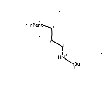 CCCCCCCCNCCCC